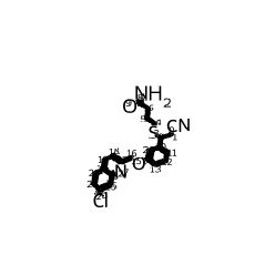 N#CCC(SCCCC(N)=O)c1cccc(OCc2ccc3ccc(Cl)cc3n2)c1